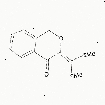 CSC(SC)=C1OCc2ccccc2C1=O